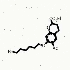 CCOC(=O)C1CCc2cc(C(C)=O)c(OCCCCCCBr)cc2O1